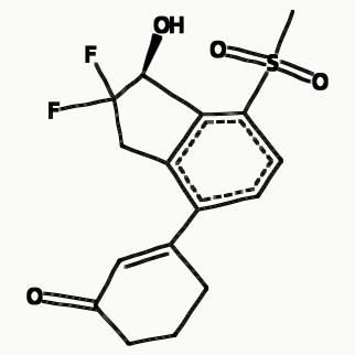 CS(=O)(=O)c1ccc(C2=CC(=O)CCC2)c2c1[C@H](O)C(F)(F)C2